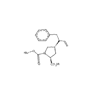 C=CC(Cc1ccccc1)[C@H]1C[C@@H](C(=O)O)N(C(=O)OC(C)(C)C)C1